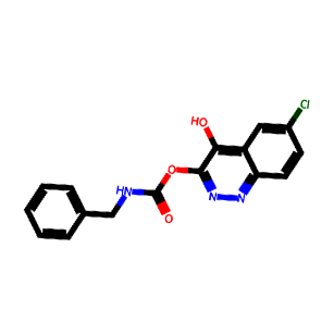 O=C(NCc1ccccc1)Oc1nnc2ccc(Cl)cc2c1O